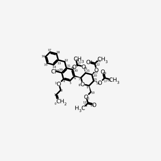 C=CCOc1cc([C@@H]2O[C@H](COC(C)=O)[C@@H](OC(C)=O)[C@H](OC(C)=O)[C@H]2OC(C)=O)cc(Cc2ccccc2)c1Cl